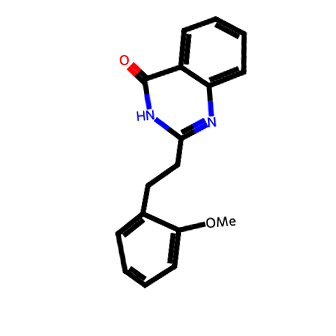 COc1ccccc1CCc1nc2ccccc2c(=O)[nH]1